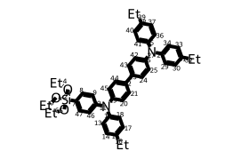 CCO[Si](OCC)(OCC)c1ccc(N(c2ccc(CC)cc2)c2ccc(-c3ccc(N(c4ccc(CC)cc4)c4ccc(CC)cc4)cc3)cc2)cc1